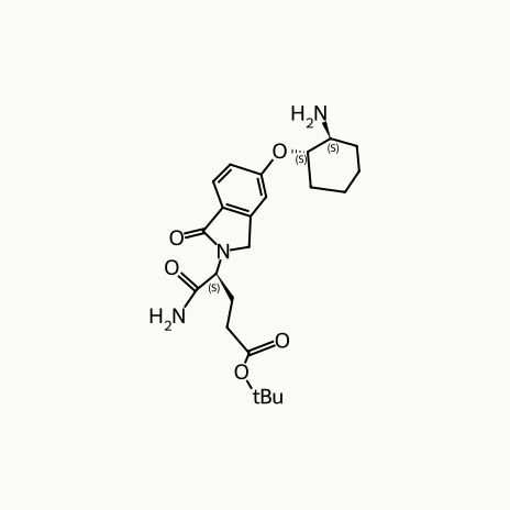 CC(C)(C)OC(=O)CC[C@@H](C(N)=O)N1Cc2cc(O[C@H]3CCCC[C@@H]3N)ccc2C1=O